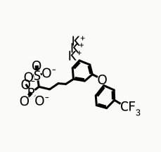 O=P([O-])([O-])C(CCCc1cccc(Oc2cccc(C(F)(F)F)c2)c1)S(=O)(=O)[O-].[K+].[K+].[K+]